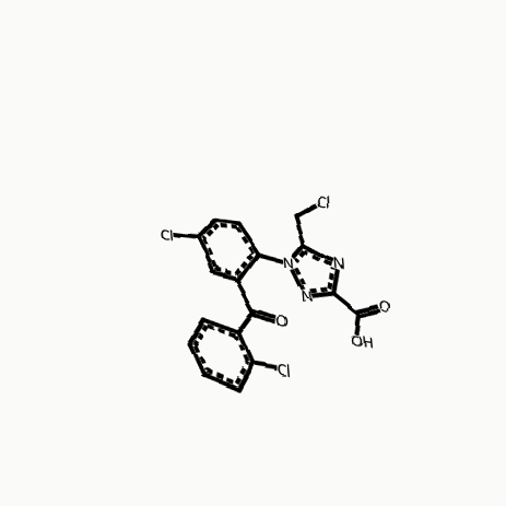 O=C(O)c1nc(CCl)n(-c2ccc(Cl)cc2C(=O)c2ccccc2Cl)n1